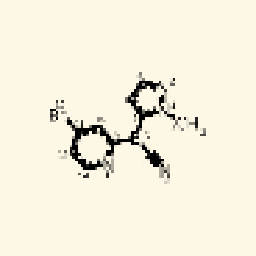 Cn1nccc1B(C#N)c1cc(Br)ccn1